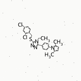 CCn1c(SCc2ccc(Cl)cc2Cl)nnc1-c1ccc(-n2c(C)ccc2C)cc1